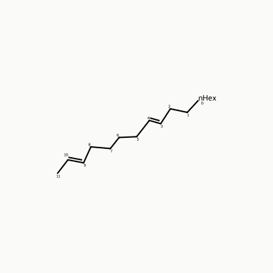 [CH2]CCCCCCCC=CCCCCC=CC